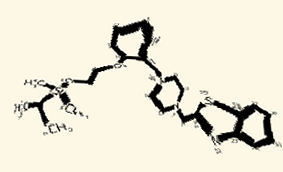 CC(C)[Si](C)(C)OCCOc1ccccc1N1CCN(Cc2nc3ccccc3s2)CC1